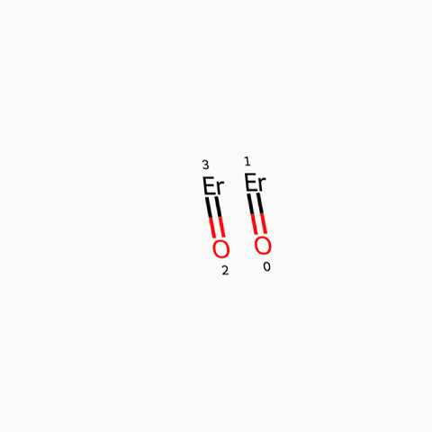 [O]=[Er].[O]=[Er]